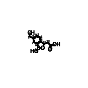 CCc1ccc2c(c1)B(O)OC2CC(=O)O